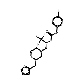 O=C(Nc1ccc(Cl)cc1)O[C@@H](CN1CCO[C@H](Cc2cccs2)C1)C(F)(F)F